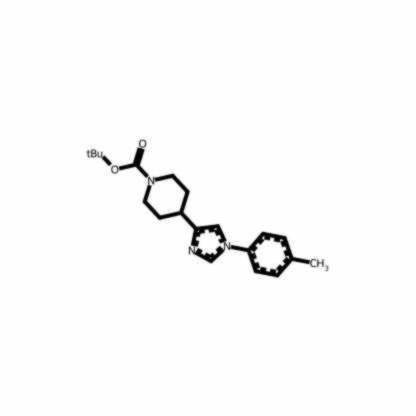 Cc1ccc(-n2cnc(C3CCN(C(=O)OC(C)(C)C)CC3)c2)cc1